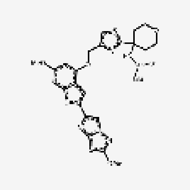 COc1cc(OCc2csc(C3(N[S+]([O-])C(C)(C)C)CCOCC3)n2)c2cc(-c3cn4nc(OC)sc4n3)oc2c1